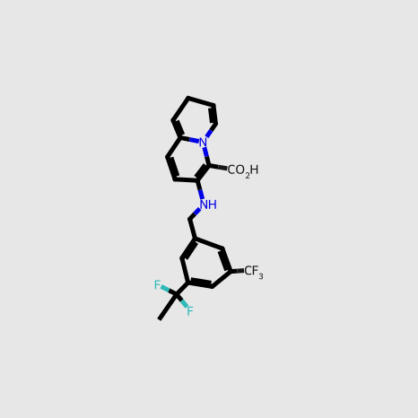 CC(F)(F)c1cc(CNC2=C(C(=O)O)N3C=CCC=C3C=C2)cc(C(F)(F)F)c1